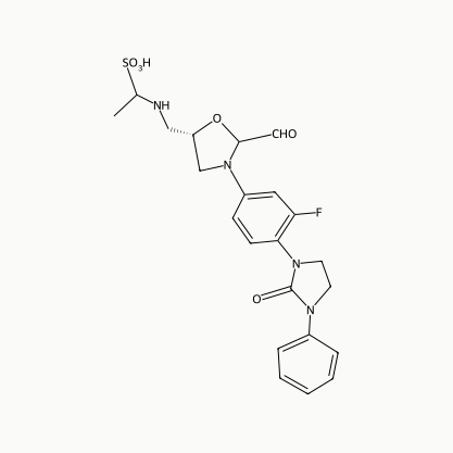 CC(NC[C@H]1CN(c2ccc(N3CCN(c4ccccc4)C3=O)c(F)c2)C(C=O)O1)S(=O)(=O)O